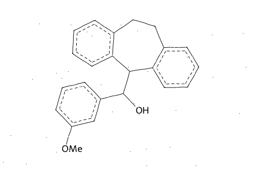 COc1cccc(C(O)C2c3ccccc3CCc3ccccc32)c1